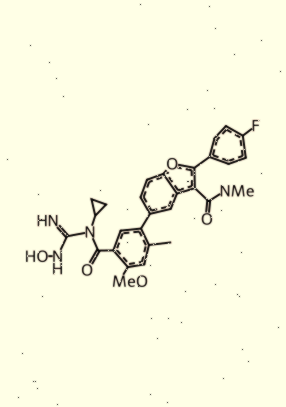 CNC(=O)c1c(-c2ccc(F)cc2)oc2ccc(-c3cc(C(=O)N(C(=N)NO)C4CC4)c(OC)cc3C)cc12